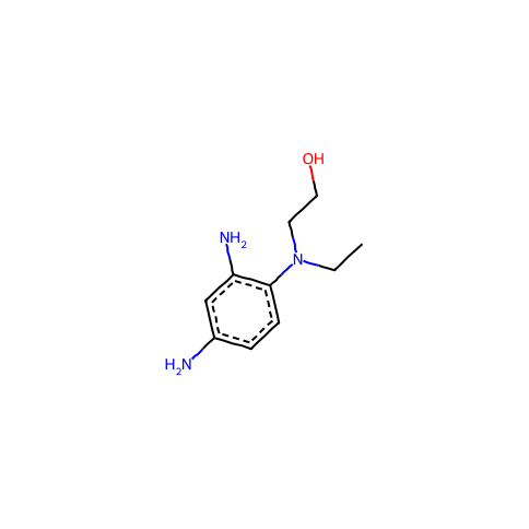 CCN(CCO)c1ccc(N)cc1N